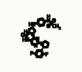 CS(=O)(=O)Nc1ccc(N[C@H]2C[C@H]3C(=O)Nc4cnc(N5CCC[C@@H]5c5cc(F)ccc5F)nc4N3C2)cc1